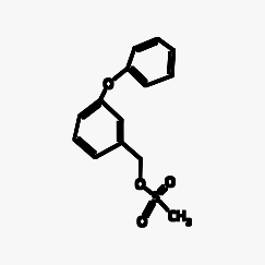 CS(=O)(=O)OCc1cccc(Oc2ccccc2)c1